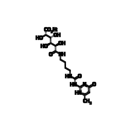 CCOC(=O)[C@@H](O)[C@H](O)[C@H](O)[C@@H](O)C(=O)NCCCCNC(=O)Nc1nc(=O)cc(C)[nH]1